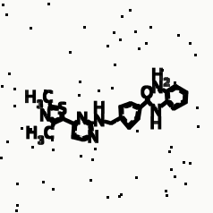 Cc1nc(C)c(-c2ccnc(NCc3ccc(C(=O)Nc4ccccc4N)cc3)n2)s1